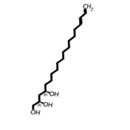 C=CC=CCCCCCCCCCCC[C@@H](O)C[C@@H](O)CO